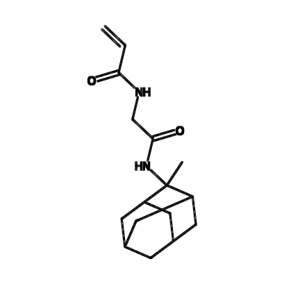 C=CC(=O)NCC(=O)NC1(C)C2CC3CC(C2)CC1C3